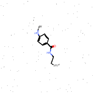 CC(C)Nc1ccc(C(=O)NCCS(=O)(=O)O)cc1